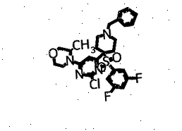 C[C@H]1COCCN1c1cc(C2(S(=O)(=O)c3cc(F)cc(F)c3)CCN(Cc3ccccc3)CC2)nc(Cl)n1